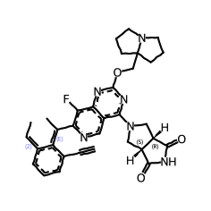 C#Cc1cccc(=C/C)/c1=C(\C)c1ncc2c(N3C[C@@H]4C(=O)NC(=O)[C@@H]4C3)nc(OCC34CCCN3CCC4)nc2c1F